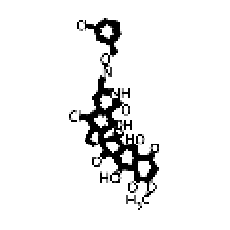 COC1=CC(=O)c2c(O)c3c(c(O)c2C1=O)C(=O)[C@]1(CCc2c1c(O)c1c(=O)[nH]c(C=NOCc4cccc(Cl)c4)cc1c2Cl)C3=O